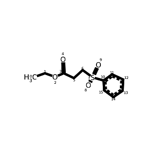 CCOC(=O)CCS(=O)(=O)c1ccccc1